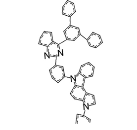 c1ccc(-c2cc(-c3ccccc3)cc(-c3nc(-c4cccc(-n5c6ccccc6c6c7ccn(-c8ccccc8)c7ccc65)c4)nc4ccccc34)c2)cc1